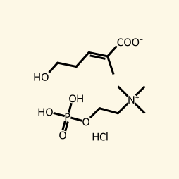 C/C(=C\CCO)C(=O)[O-].C[N+](C)(C)CCOP(=O)(O)O.Cl